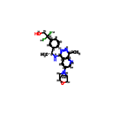 Cc1nnc(N[C@H](C)c2cccc(C(F)(F)CO)c2)c2cc(N3CC4CC3CO4)cnc12